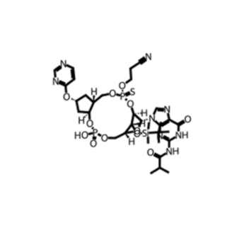 CC(C)C(=O)Nc1nc2c(ncn2[C@@H]2O[C@@H]3COP(=O)(O)O[C@H]4C[C@H](Oc5ccncn5)C[C@@H]4CO[P@](=S)(OCCC#N)O[C@@H]2[C@@H]3O[Si](C)(C)C(C)(C)C)c(=O)[nH]1